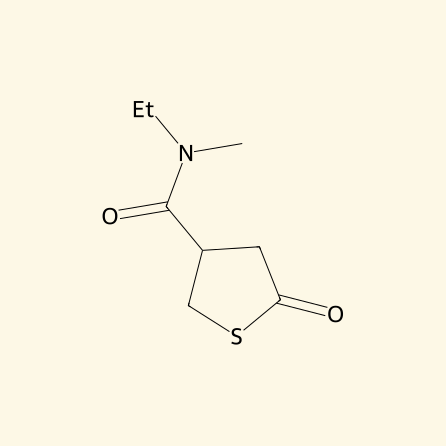 CCN(C)C(=O)C1CSC(=O)C1